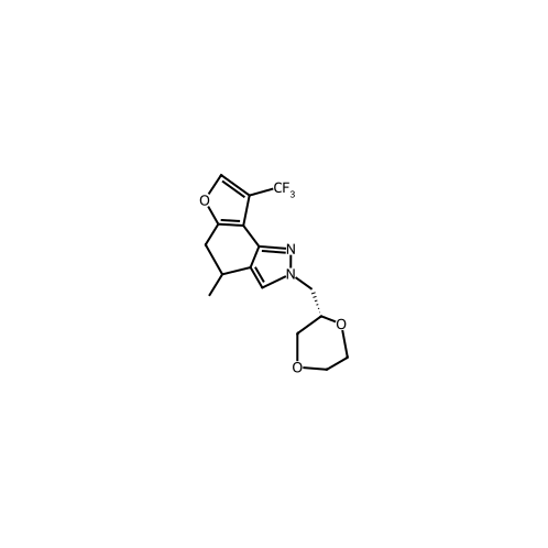 CC1Cc2occ(C(F)(F)F)c2-c2nn(C[C@H]3COCCO3)cc21